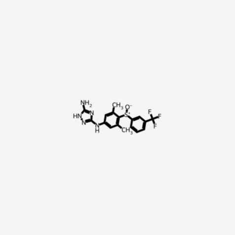 Cc1cc(Nc2n[nH]c(N)n2)cc(C)c1[S+]([O-])c1cccc(C(F)(F)F)c1